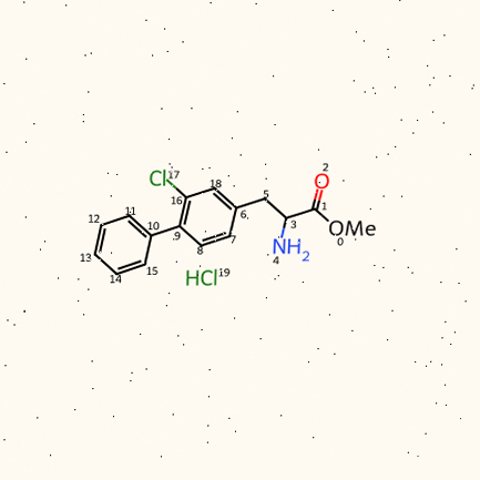 COC(=O)C(N)Cc1ccc(-c2ccccc2)c(Cl)c1.Cl